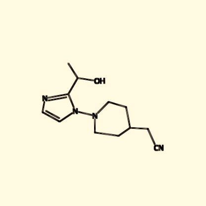 CC(O)c1nccn1N1CCC(CC#N)CC1